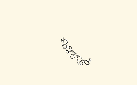 Cc1ccc2c3c(ccc2n1)OC[C@H](CN(C[C@@H]1CCc2[nH]c4ccc(F)cc4c2C1)C1CCCC1)O3